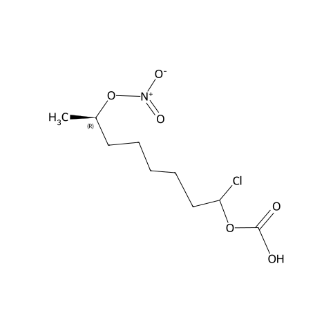 C[C@H](CCCCCC(Cl)OC(=O)O)O[N+](=O)[O-]